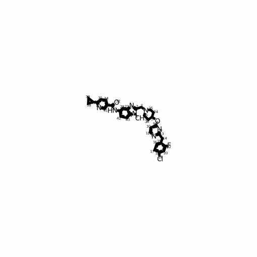 Cn1c(CN2CCC(Oc3ccnc(Cc4ccc(Cl)cc4F)n3)CC2)nc2cc(NC(=O)c3ccc(C4CC4)nc3)ccc21